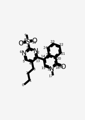 CCCCc1cnc(S(C)(=O)=O)nc1-c1cn(C)c(=O)c2ccccc12